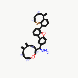 C=C1/C=C\C=C/O/C=C(C(N)c2ccc3oc4c(-c5cccc6c5S/C=C\C=C/C6=C)cccc4c3c2)\C=C/C1=C